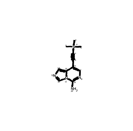 C[Si](C)(C)C#Cc1cnc(N)n2cncc12